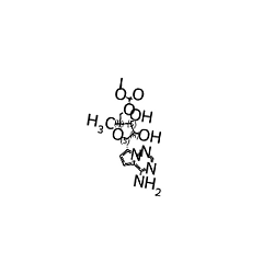 C[C@]1(COC(=O)OI)O[C@@H](c2ccc3c(N)ncnn23)[C@H](O)[C@@H]1O